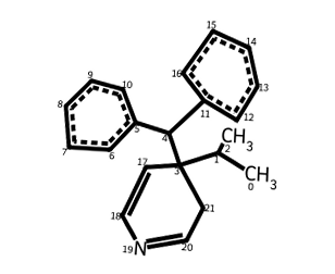 CC(C)C1(C(c2ccccc2)c2ccccc2)C=CN=CC1